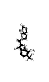 Cc1c(C(F)(F)F)ccc2c(Cl)c(C(=O)N3CCC4(COC(=O)N4)C3)sc12